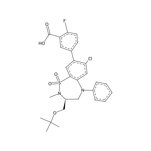 CN1[C@H](COC(C)(C)C)CN(c2ccccc2)c2cc(Cl)c(-c3ccc(F)c(C(=O)O)c3)cc2S1(=O)=O